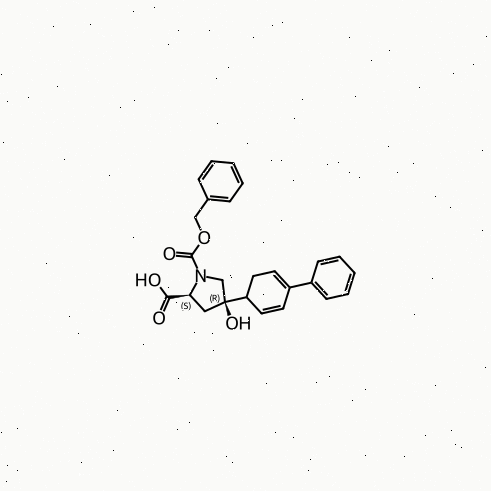 O=C(O)[C@@H]1C[C@@](O)(C2C=CC(c3ccccc3)=CC2)CN1C(=O)OCc1ccccc1